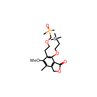 COc1c(C)c2c(c(OCC[Si](C)(C)C)c1CCOCP(C)(C)=O)C(=O)OC2